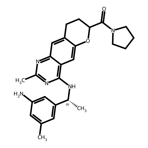 Cc1cc(N)cc([C@@H](C)Nc2nc(C)nc3cc4c(cc23)OC(C(=O)N2CCCC2)CC4)c1